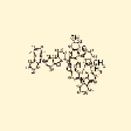 Cc1cc2c3c(c1)-n1c4ccc5c6cc(-n7c8ccccc8c8ccccc87)ccc6oc5c4c4c5oc6ccc(-n7c8ccccc8c8ccccc87)cc6c5cc(c41)B3c1cc(C(C)(C)C)ccc1O2